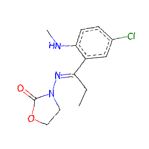 CC/C(=N\N1CCOC1=O)c1cc(Cl)ccc1NC